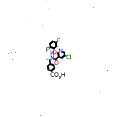 C[C@H](NC(=O)c1cc(Cl)cnc1Oc1cc(F)ccc1F)c1ccc(C(=O)O)cc1